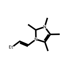 CCC=CN1C(C)=C(C)N(C)C1C